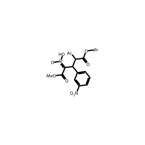 COC(=O)/C(C(c1cccc([N+](=O)[O-])c1)C(C(C)=O)C(=O)OC(C)C)=[N+](\[O-])O